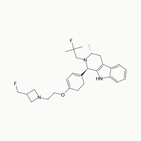 C[C@@H]1Cc2c([nH]c3ccccc23)[C@@H](C2=CC=C(OCCN3CC(CF)C3)CC2)N1CC(C)(C)F